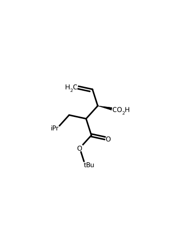 C=C[C@@H](C(=O)O)C(CC(C)C)C(=O)OC(C)(C)C